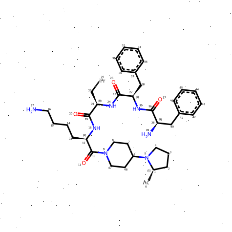 CC(=O)[C@@H]1CCCN1C1CCN(C(=O)[C@@H](CCCCN)NC(=O)[C@@H](CC(C)C)NC(=O)[C@@H](Cc2ccccc2)NC(=O)[C@H](N)Cc2ccccc2)CC1